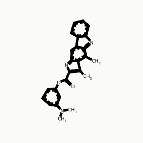 CC1=C(C(=O)Oc2cccc(N(C)C)c2)N=c2cc3c(c(C)c21)=Nc1ccccc1-3